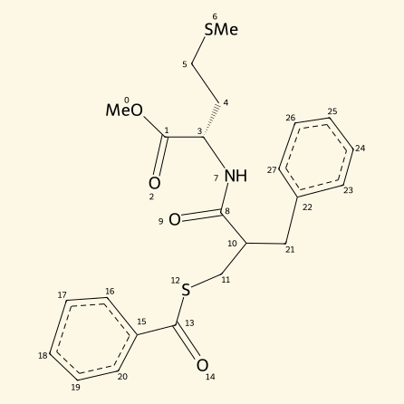 COC(=O)[C@H](CCSC)NC(=O)C(CSC(=O)c1ccccc1)Cc1ccccc1